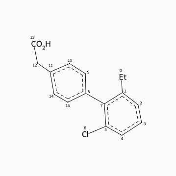 CCc1cccc(Cl)c1-c1ccc(CC(=O)O)cc1